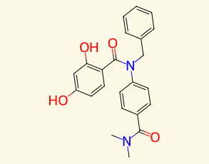 CN(C)C(=O)c1ccc(N(Cc2ccccc2)C(=O)c2ccc(O)cc2O)cc1